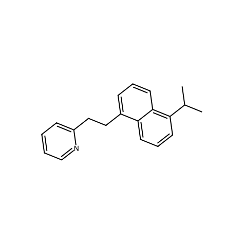 CC(C)c1cccc2c(CCc3ccccn3)cccc12